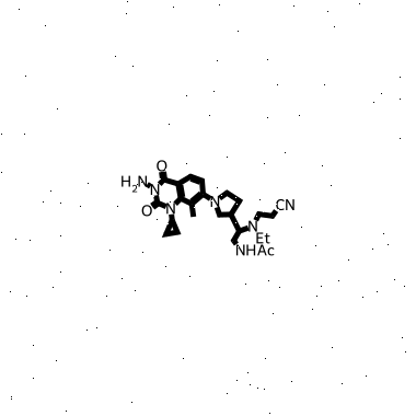 CCN(CCC#N)C(CNC(C)=O)C1CCN(c2ccc3c(=O)n(N)c(=O)n(C4CC4)c3c2C)C1